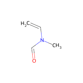 C=CN(C)C=O